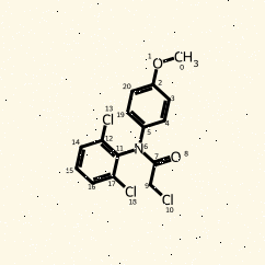 COc1ccc(N(C(=O)CCl)c2c(Cl)cccc2Cl)cc1